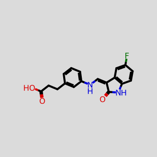 O=C(O)CCc1cccc(NC=C2C(=O)Nc3ccc(F)cc32)c1